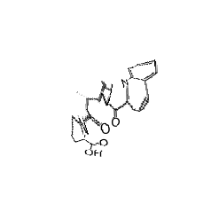 C[C@H](NC(=O)c1ccc2ccccc2n1)C(=O)N1CCCC1C(=O)O